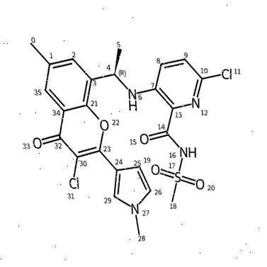 Cc1cc([C@@H](C)Nc2ccc(Cl)nc2C(=O)NS(C)(=O)=O)c2oc(-c3ccn(C)c3)c(Cl)c(=O)c2c1